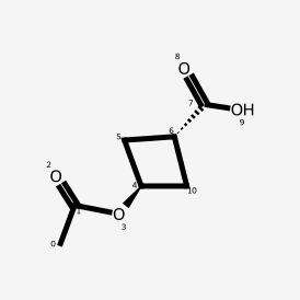 CC(=O)O[C@H]1C[C@H](C(=O)O)C1